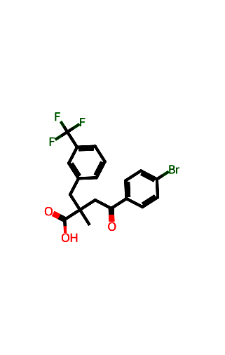 CC(CC(=O)c1ccc(Br)cc1)(Cc1cccc(C(F)(F)F)c1)C(=O)O